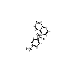 Nc1ccc(S(=O)(=O)c2cccc3cnccc23)cc1